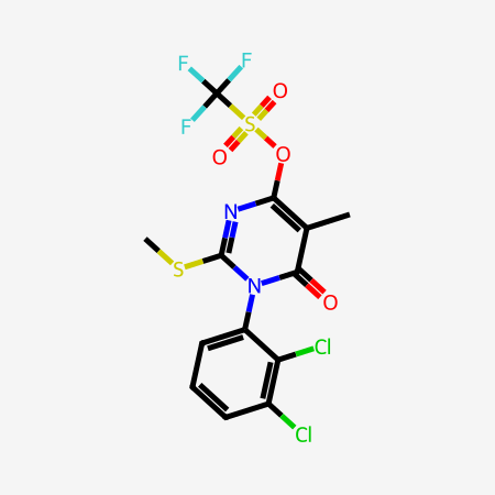 CSc1nc(OS(=O)(=O)C(F)(F)F)c(C)c(=O)n1-c1cccc(Cl)c1Cl